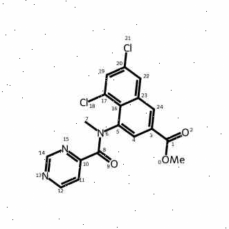 COC(=O)c1cc(N(C)C(=O)c2ccncn2)c2c(Cl)cc(Cl)cc2c1